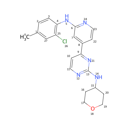 Cc1ccc(Nc2cc(-c3ccnc(NC4CCOCC4)n3)ccn2)c(Cl)c1